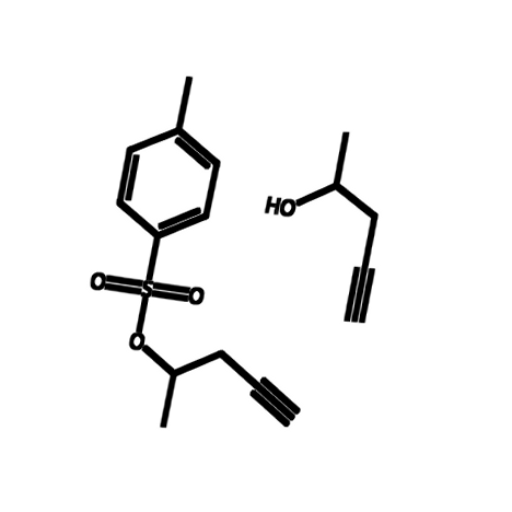 C#CCC(C)O.C#CCC(C)OS(=O)(=O)c1ccc(C)cc1